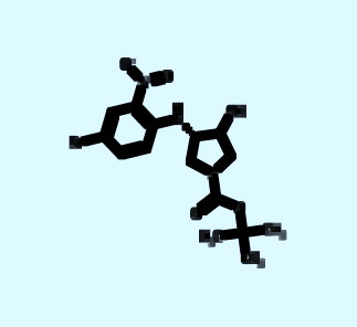 CC(C)(C)OC(=O)N1CC(O)[C@@H](Nc2ccc(Br)cc2[N+](=O)[O-])C1